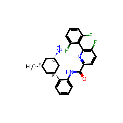 C[C@@H]1C[C@H](N)C[C@H](c2ccccc2NC(=O)c2ccc(F)c(-c3c(F)cccc3F)n2)C1